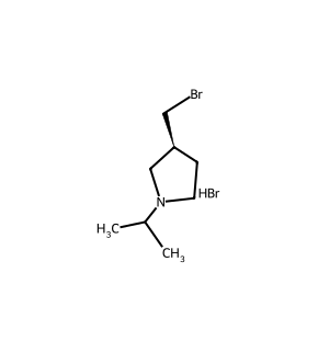 Br.CC(C)N1CC[C@H](CBr)C1